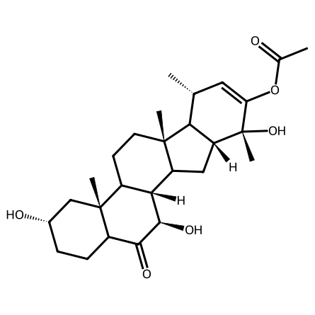 CC(=O)OC1=C[C@@H](C)C2[C@@H](CC3[C@H]4C(CC[C@@]32C)[C@@]2(C)C[C@@H](O)CCC2C(=O)[C@@H]4O)[C@@]1(C)O